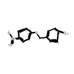 O=[N+]([O-])c1ccc(OCc2ccc(Cl)cc2)cc1